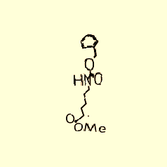 COC(=O)[CH]CCCCNC(=O)OCc1ccccc1